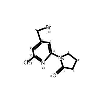 O=C1CCCN1c1cc(CBr)cc(Cl)n1